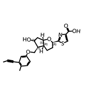 CC#Cc1cc(OC[C@@H]2[C@H]3CC[C@H](c4nc(C(=O)O)cs4)O[C@H]3C[C@@H]2O)ccc1C